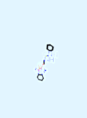 CN1C2CCCCC2N(C)P1OCCNC(=S)Nc1ccccc1